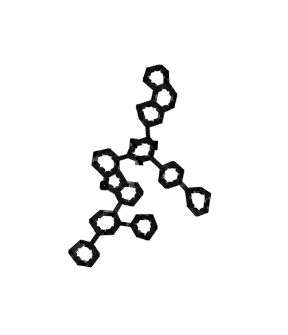 c1ccc(-c2ccc(-c3nc(-c4ccc5c(ccc6ccccc65)c4)nc(-c4cccc5oc6c(-c7ccc(-c8ccccc8)cc7-c7ccccc7)cccc6c45)n3)cc2)cc1